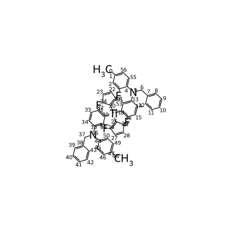 Cc1ccc(N(Cc2ccccc2)c2ccc(F)[c]([Ti]([C]3=CC=CC3)([C]3=CC=CC3)[c]3c(F)ccc(N(Cc4ccccc4)c4ccc(C)cc4)c3F)c2F)cc1